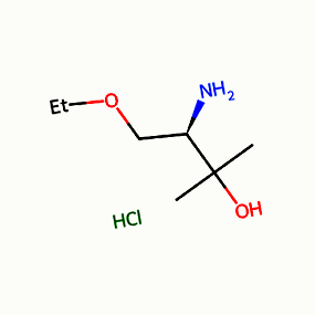 CCOC[C@@H](N)C(C)(C)O.Cl